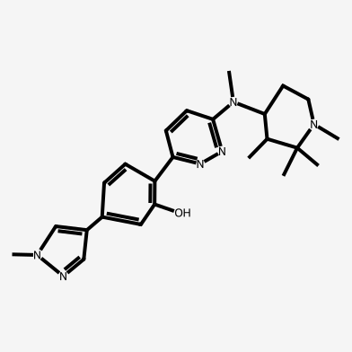 CC1C(N(C)c2ccc(-c3ccc(-c4cnn(C)c4)cc3O)nn2)CCN(C)C1(C)C